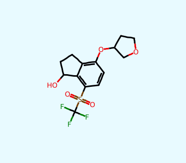 O=S(=O)(c1ccc(OC2CCOC2)c2c1C(O)CC2)C(F)(F)F